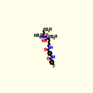 O=C(O)CCC(NC(=O)N(O)[C@@H](CCCCNC(=O)c1ccc(NC(=O)c2ccc(F)cc2)cc1)C(=O)O)C(=O)O